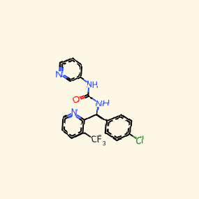 O=C(Nc1cccnc1)N[C@@H](c1ccc(Cl)cc1)c1ncccc1C(F)(F)F